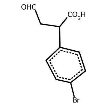 O=CCC(C(=O)O)c1ccc(Br)cc1